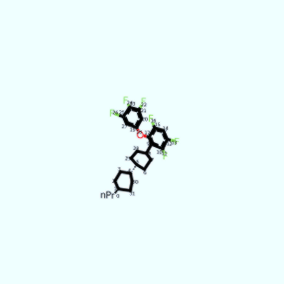 CCC[C@H]1CC[C@H](C2CCC(c3c(F)c(F)[c]c(F)c3Oc3cc(F)c(F)c(F)c3)CC2)CC1